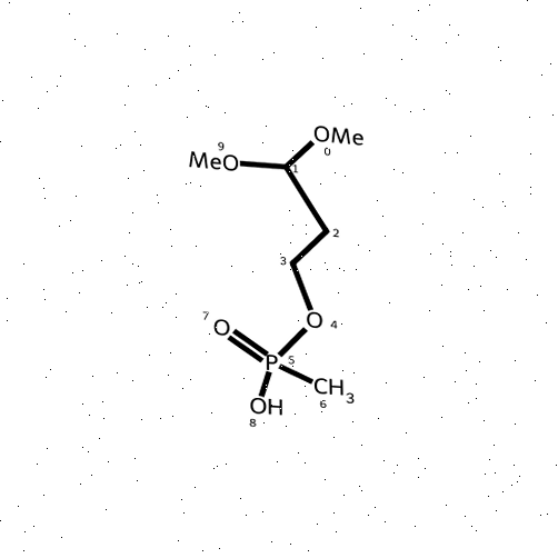 COC(CCOP(C)(=O)O)OC